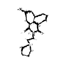 O=C1c2cccc3cc(O)cc(c23)C(=O)N1CCN1CCCC1